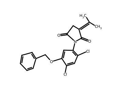 CC(C)=C1CC(=O)N(c2cc(OCc3ccccc3)c(Cl)cc2Cl)C1=O